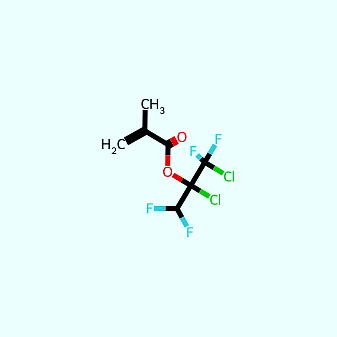 C=C(C)C(=O)OC(Cl)(C(F)F)C(F)(F)Cl